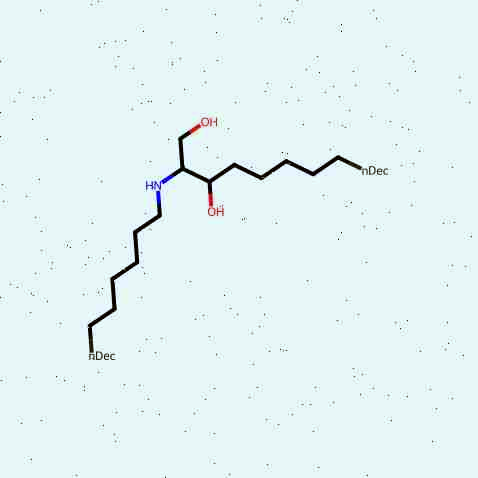 CCCCCCCCCCCCCCCCNC(CO)C(O)CCCCCCCCCCCCCCC